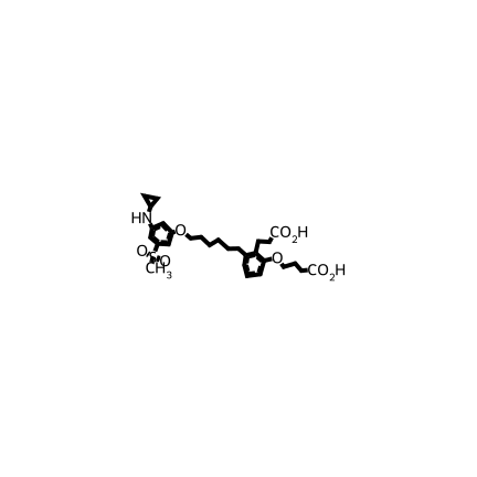 CS(=O)(=O)c1cc(NC2CC2)cc(OCCCCCCc2cccc(OCCCC(=O)O)c2CCC(=O)O)c1